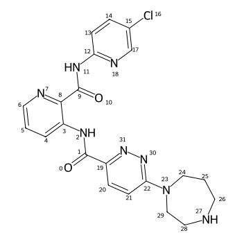 O=C(Nc1cccnc1C(=O)Nc1ccc(Cl)cn1)c1ccc(N2CCCNCC2)nn1